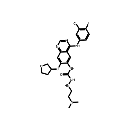 CN(C)CCNNC(=O)Nc1cc2c(Nc3ccc(F)c(Cl)c3)ncnc2cc1OC1CCOC1